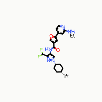 CCNc1cc(-c2cc(C(=O)Nc3cn([C@H]4CC[C@@H](C(C)C)CC4)nc3C(F)F)co2)ccn1